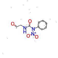 O=[C]CNC(=O)N(c1ccccc1)[N+](=O)[O-]